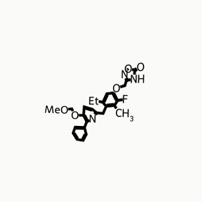 CCc1cc(OCc2noc(=O)[nH]2)c(F)c(C)c1Cc1ccc(OCOC)c(-c2ccccc2)n1